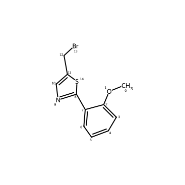 COc1ccccc1-c1ncc(CBr)s1